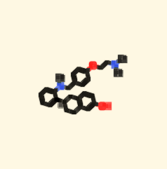 CCN(CC)CCOc1ccc(CN(CC)c2ccccc2[C@@H]2CCc3cc(O)ccc3C2)cc1